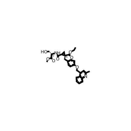 CCOC(=O)[C@@]1(Cc2ccc(OCc3cc(C)nc4ccccc34)cc2)CC1C(=O)N[C@@H](CO)C(=O)OC